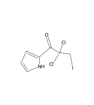 O=C(c1ccc[nH]1)C(Cl)(Cl)CI